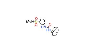 CNS(=O)(=O)c1cccc(NC(=O)NC23CC4CC(CC(C4)C2)C3)c1